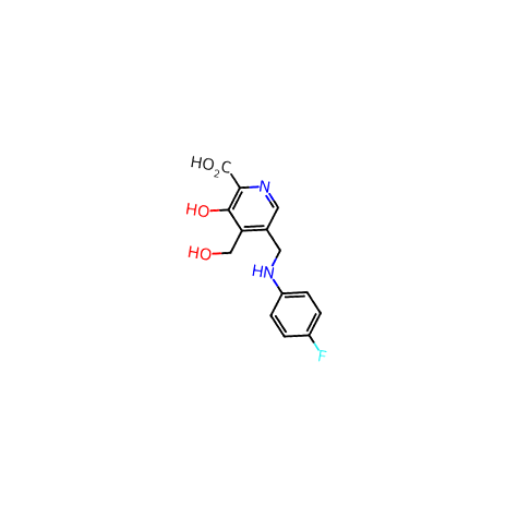 O=C(O)c1ncc(CNc2ccc(F)cc2)c(CO)c1O